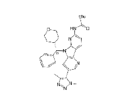 Cc1nnn(C)c1-c1cnc2c3ccc(NC(=O)C(C)(C)C)nc3n([C@H](c3ccccc3)C3CCOCC3)c2c1